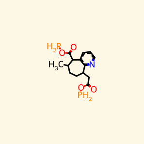 CC1CCC(CC(=O)OP)c2ncccc2C1C(=O)OP